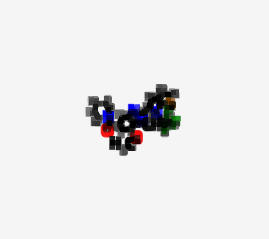 COc1cc(C(=O)N2CCCCC2)cc2nc(-c3cc4ccsc4n3CC(F)(F)F)n(C)c12